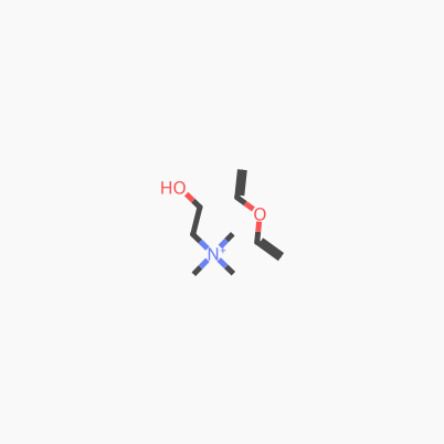 C=COC=C.C[N+](C)(C)CCO